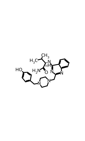 CC(C)[C@H](Nc1nc(CN2CCN(Cc3ccc(O)cc3)CC2)nc2ccccc12)C(N)=O